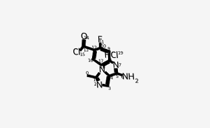 Cc1ncc2c(N)nc3cc(F)c(C(=O)Cl)cc3n12.Cl